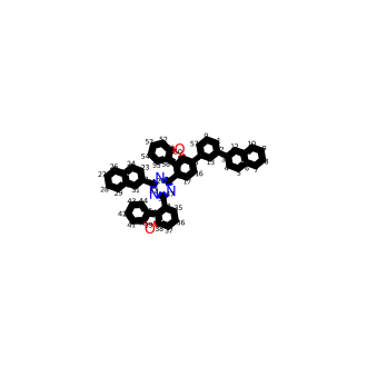 c1cc(-c2ccc3ccccc3c2)cc(-c2ccc(-c3nc(-c4ccc5ccccc5c4)nc(-c4cccc5oc6ccccc6c45)n3)c3c2oc2ccccc23)c1